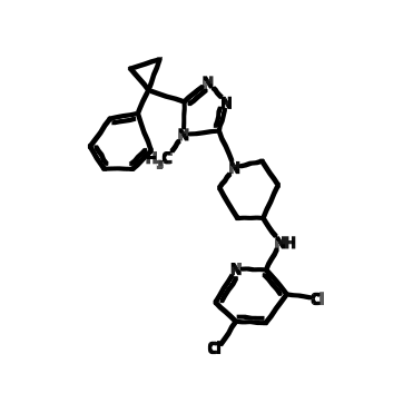 Cn1c(N2CCC(Nc3ncc(Cl)cc3Cl)CC2)nnc1C1(c2ccccc2)CC1